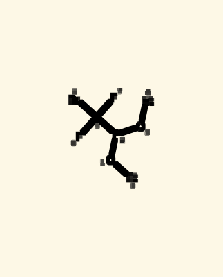 CCOP(OCC)C(F)(F)Br